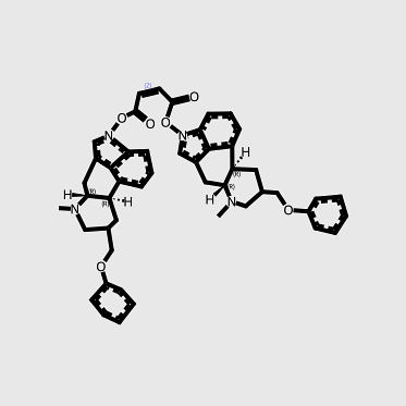 CN1CC(COc2ccccc2)C[C@@H]2c3cccc4c3c(cn4OC(=O)/C=C\C(=O)On3cc4c5c(cccc53)[C@H]3CC(COc5ccccc5)CN(C)[C@@H]3C4)C[C@H]21